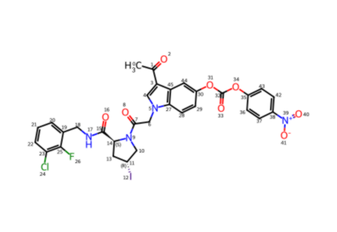 CC(=O)c1cn(CC(=O)N2C[C@H](I)C[C@H]2C(=O)NCc2cccc(Cl)c2F)c2ccc(OC(=O)Oc3ccc([N+](=O)[O-])cc3)cc12